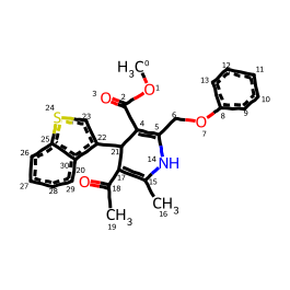 COC(=O)C1=C(COc2ccccc2)NC(C)=C(C(C)=O)C1c1csc2ccccc12